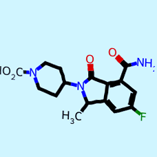 CC1c2cc(F)cc(C(N)=O)c2C(=O)N1C1CCN(C(=O)O)CC1